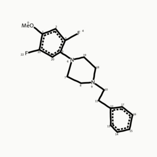 COc1cc(F)c(N2CCN(CCc3ccccc3)CC2)cc1F